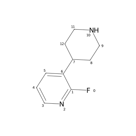 Fc1ncccc1C1CCNCC1